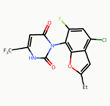 CCc1cc2c(Cl)cc(F)c(-n3c(=O)cc(C(F)(F)F)[nH]c3=O)c2o1